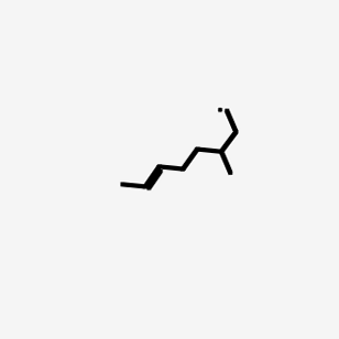 [CH2]CC(C)CCC=CC